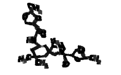 C=C1OCC(C(=O)NCC2(C)CC(NC(=O)C3COC(=C)O3)CC(C)(C)C2)O1